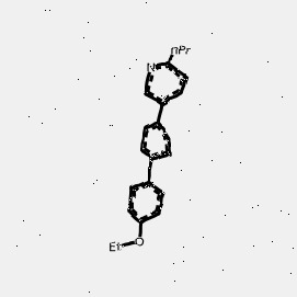 CCCc1ccc(-c2ccc(-c3ccc(OCC)cc3)cc2)cn1